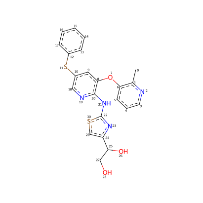 Cc1ncccc1Oc1cc(Sc2ccccc2)cnc1Nc1nc(C(O)CO)cs1